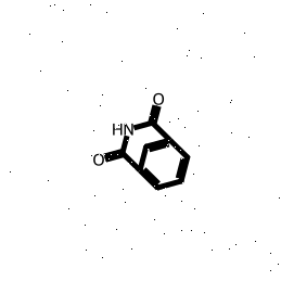 O=C1NC(=O)c2cccc1c2